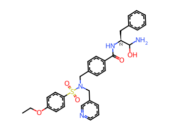 CCOc1ccc(S(=O)(=O)N(Cc2ccc(C(=O)N[C@@H](Cc3ccccc3)C(N)O)cc2)Cc2cccnc2)cc1